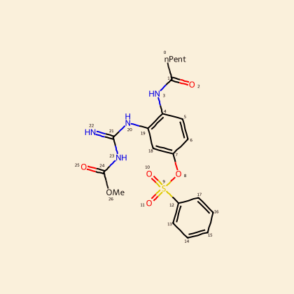 CCCCCC(=O)Nc1ccc(OS(=O)(=O)c2ccccc2)cc1NC(=N)NC(=O)OC